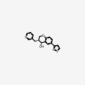 O[C@@H]1c2cc(-c3ccsn3)ccc2OC[C@@H]1Cc1cccnc1